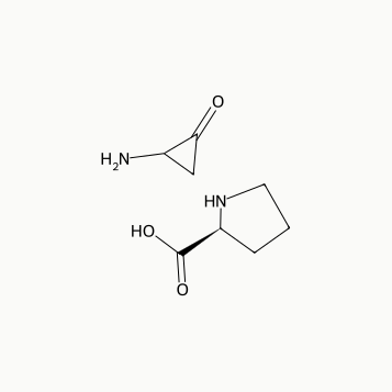 NC1CC1=O.O=C(O)[C@@H]1CCCN1